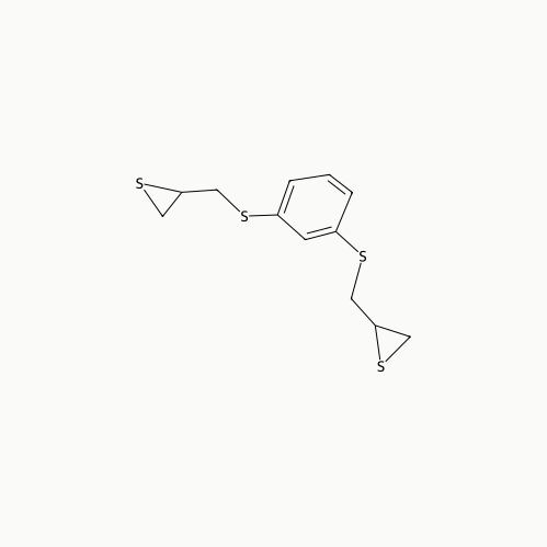 c1cc(SCC2CS2)cc(SCC2CS2)c1